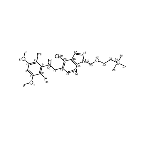 COc1cc(OC)c(F)c(NCc2cnc3c(ccn3COCC[Si](C)(C)C)c2Cl)c1F